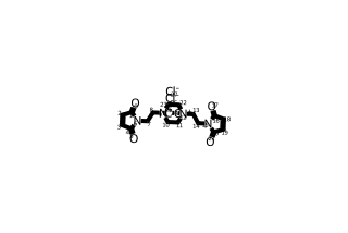 O=C1C=CC(=O)N1CC[N+]12CC[N+](CCN3C(=O)C=CC3=O)(CC1)CC2.[Cl-].[Cl-]